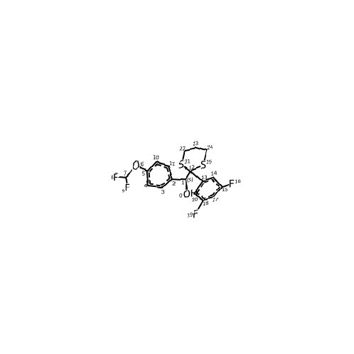 O[C@@H](c1ccc(OC(F)F)cc1)C1(c2cc(F)cc(F)c2)SCCCS1